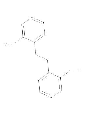 COc1ccccc1CCc1ccccc1C(=O)O